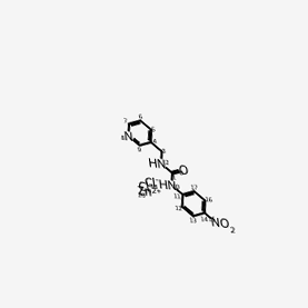 O=C(NCc1cccnc1)Nc1ccc([N+](=O)[O-])cc1.[Cl-].[Cl-].[Zn+2]